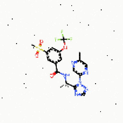 Cc1cnc(-n2ncnc2[C@H](C)NC(=O)c2cc(OC(F)(F)F)cc(S(C)(=O)=O)c2)cn1